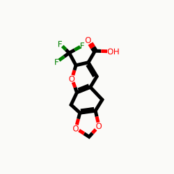 O=C(O)C1=CC2=C(CC3=C(C2)OCO3)OC1C(F)(F)F